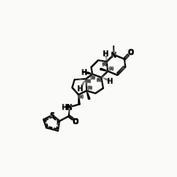 CN1C(=O)C=C[C@]2(C)[C@H]3CC[C@]4(C)[C@@H](CNC(=O)c5cccs5)CC[C@H]4[C@@H]3CC[C@@H]12